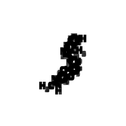 Cc1nc2ccc(Oc3ccc4ncc(-c5cnn(CC6CCNCC6)c5C)nc4c3Cl)cc2[nH]1